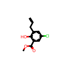 C=CCc1cc(Cl)cc(C(=O)OC)c1O